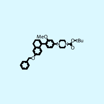 COc1cc(N2CCN(C(=O)OC(C)(C)C)CC2)ccc1C1=CCCc2cc(OCc3ccccc3)ccc21